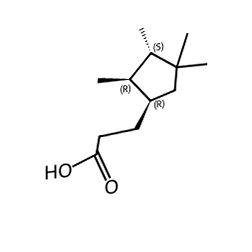 C[C@@H]1[C@H](CCC(=O)O)CC(C)(C)[C@H]1C